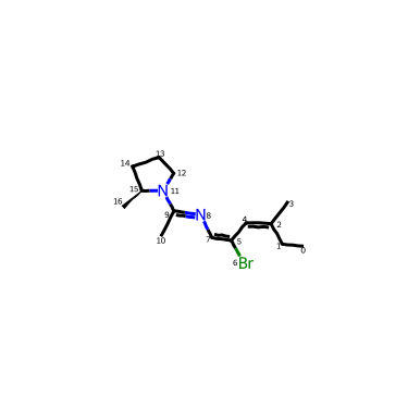 CC\C(C)=C/C(Br)=C\N=C(/C)N1CCC[C@@H]1C